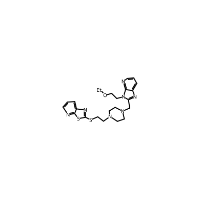 CCOCCn1c(CN2CCN(CCSc3nc4cccnc4s3)CC2)nc2cccnc21